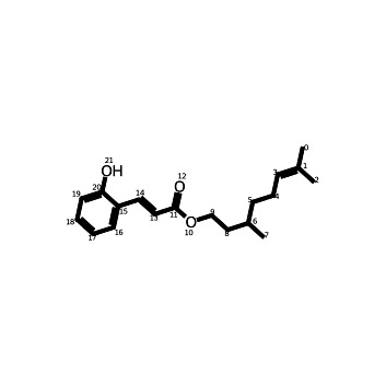 CC(C)=CCCC(C)CCOC(=O)C=Cc1ccccc1O